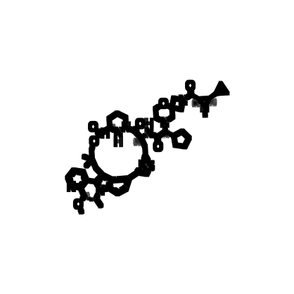 CCn1c(-c2cccnc2[C@H](C)OC)c2c3cc(ccc31)-c1csc(n1)C[C@H](NC(=O)[C@H](C1CCCC1)N1CCOC3(CN(C(=O)[C@H]4[C@@H](C5CC5)N4C)C3)C1)C(=O)N1CCC[C@H](N1)C(=O)OCC(C)(C)C2